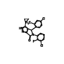 Cc1cc(Cl)ccc1C1c2c(n[nH]c2C2CC2)C(=O)N1c1cccc(Cl)c1F